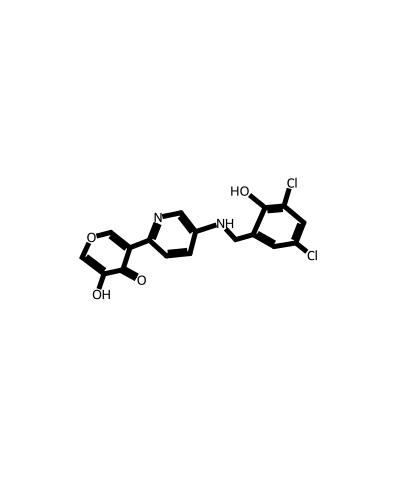 O=c1c(O)cocc1-c1ccc(NCc2cc(Cl)cc(Cl)c2O)cn1